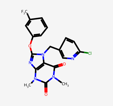 Cn1c(=O)c2c(nc(Oc3cccc(C(F)(F)F)c3)n2Cc2ccc(Cl)nc2)n(C)c1=O